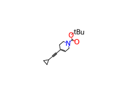 CC(C)(C)OC(=O)N1CC=C(C#CC2CC2)CC1